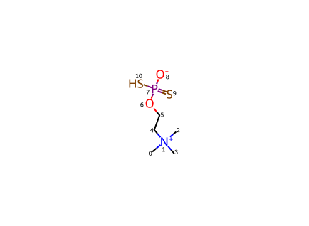 C[N+](C)(C)CCOP([O-])(=S)S